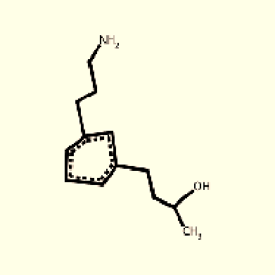 CC(O)CCc1cccc(CCCN)c1